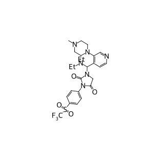 CCN(CC)C(c1ccncc1N1CCN(C)CC1)N1CC(=O)N(c2ccc(S(=O)(=O)C(F)(F)F)cc2)C1=O